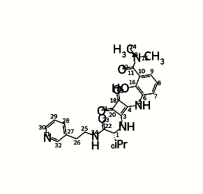 CC(C)[C@@H](Nc1c(Nc2cccc(C(=O)N(C)C)c2O)c(=O)c1=O)C(=O)NCCc1cccnc1